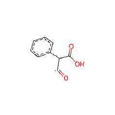 O=[C]C(C(=O)O)c1ccccc1